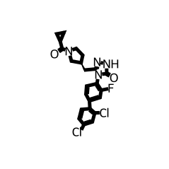 O=C(C1CC1)N1CC[C@@H](Cc2n[nH]c(=O)n2-c2ccc(-c3ccc(Cl)cc3Cl)cc2F)C1